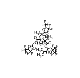 CCC(C)(CC(C)(CC(C)(C)C(=O)OC(C(F)(F)F)C(F)(F)F)C(=O)OCC(=O)OC(C(F)(F)F)C(F)(F)F)C(=O)OC(CC(C)C)CC(O)(C(F)(F)F)C(F)(F)F